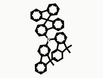 CC1(C)c2ccccc2-c2ccc(N(c3cccc4c3C3=CC=CCC3C4(C)C)c3cccc4c3-c3ccccc3C43c4ccccc4-c4ccccc43)cc21